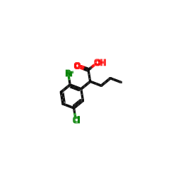 CCCC(C(=O)O)c1cc(Cl)ccc1Br